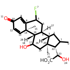 CC1C[C@H]2[C@@H]3CC(F)C4=CC(=O)C=C[C@]4(C)[C@H]3C(O)C[C@]2(C)[C@H]1C(O)C(=O)O